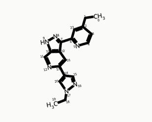 CCc1ccnc(-c2n[nH]c3cnc(-c4cnn(CC)c4)cc23)c1